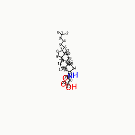 CC(C)CCCCC1CCC2C3CC=C4CC(NC(=O)CC(=O)O)CCC4(C)C3CCC12C